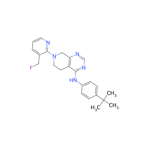 CC(C)(C)c1ccc(Nc2ncnc3c2CCN(c2ncccc2CI)C3)cc1